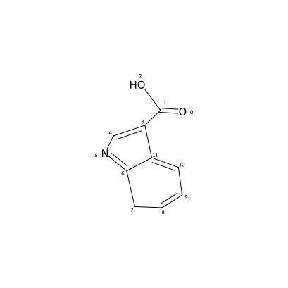 O=C(O)C1=CN=C2CC=CC=C12